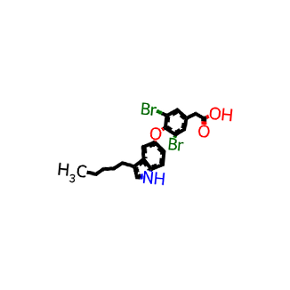 CCCCCc1c[nH]c2ccc(Oc3c(Br)cc(CC(=O)O)cc3Br)cc12